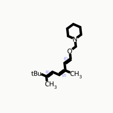 CC(=C/C=C(\C)C(C)(C)C)/C=C/OCN1CCCCC1